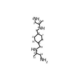 CC(CN)NCC1CCC(CNC(C)CN)CC1